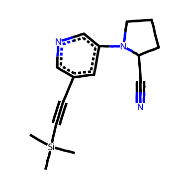 C[Si](C)(C)C#Cc1cncc(N2CCCC2C#N)c1